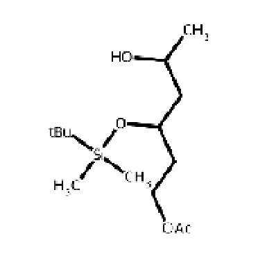 CC(=O)OCCC(CC(C)O)O[Si](C)(C)C(C)(C)C